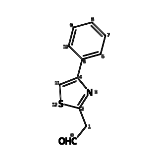 O=CCc1nc(-c2ccccc2)cs1